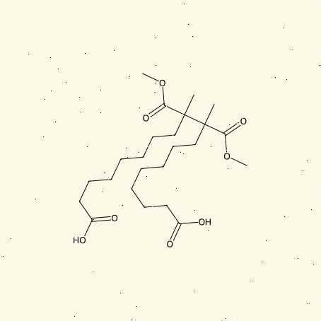 COC(=O)C(C)(CCCCCCCC(=O)O)C(C)(CCCCCCCC(=O)O)C(=O)OC